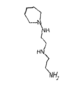 NCCNCCNN1CCCCC1